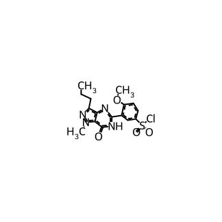 CCCc1nn(C)c2c(=O)[nH]c(-c3cc(S(=O)(=O)Cl)ccc3OC)nc12